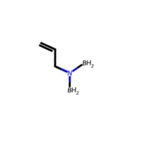 BN(B)CC=C